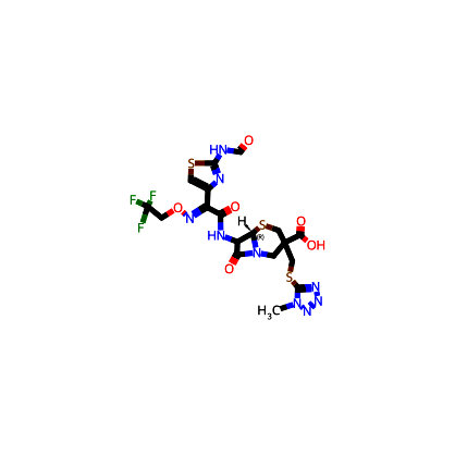 Cn1nnnc1SCC1(C(=O)O)CS[C@@H]2C(NC(=O)C(=NOCC(F)(F)F)c3csc(NC=O)n3)C(=O)N2C1